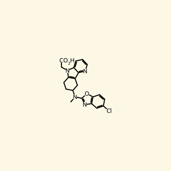 CN(c1nc2cc(Cl)ccc2o1)C1CCc2c(c3ncccc3n2CC(=O)O)C1